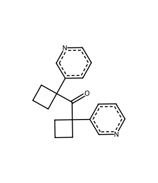 O=C(C1(c2cccnc2)CCC1)C1(c2cccnc2)CCC1